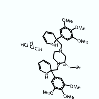 COc1cc(C2(CN3CCN(CC4(c5cc(OC)c(OC)c(OC)c5)C=CC=CN4)[C@@H](CC(C)C)C3)C=CC=CN2)cc(OC)c1OC.Cl.Cl.Cl